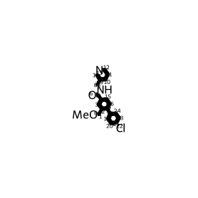 COCc1cc(C(=O)NCc2cccnc2)ccc1-c1ccc(Cl)cc1